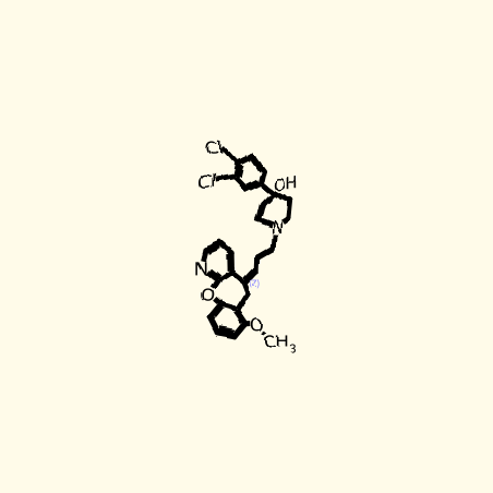 COc1cccc2c1C/C(=C/CCN1CCC(O)(c3ccc(Cl)c(Cl)c3)CC1)c1cccnc1O2